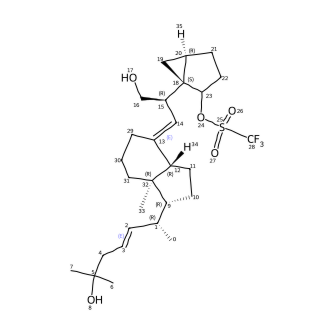 C[C@H](/C=C/CC(C)(C)O)[C@H]1CC[C@H]2/C(=C/[C@@H](CO)[C@]34C[C@H]3CCC4OS(=O)(=O)C(F)(F)F)CCC[C@]12C